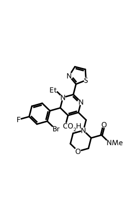 CCN1C(c2nccs2)=NC(CN2CCOCC2C(=O)NC)=C(C(=O)O)C1c1ccc(F)cc1Br